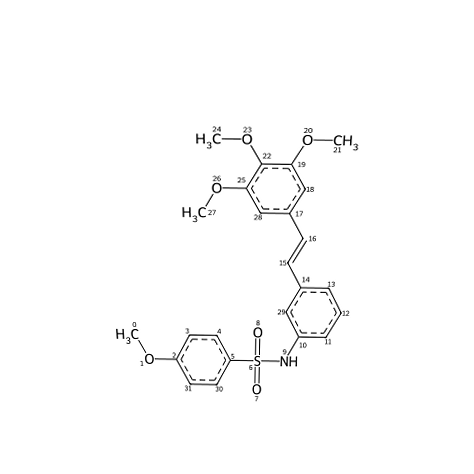 COc1ccc(S(=O)(=O)Nc2cccc(C=Cc3cc(OC)c(OC)c(OC)c3)c2)cc1